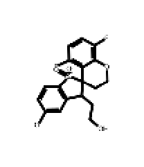 O=S1(=O)c2ccc(Cl)cc2C(CCO)C12CCOc1c(F)ccc(F)c12